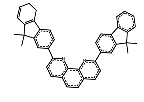 CC1(C)C2=C(CCC=C2)c2ccc(-c3ccc4ccc5ccc(-c6ccc7c(c6)C(C)(C)c6ccccc6-7)nc5c4n3)cc21